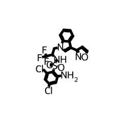 Nc1cc(Cl)cc(Cl)c1S(=O)(=O)NC(Cn1cc(-c2ccon2)c2ccccc21)C(F)(F)F